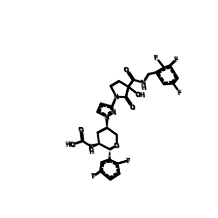 O=C(O)N[C@H]1C[C@@H](n2ccc(N3CCC(O)(C(=O)NCc4cc(F)cc(F)c4F)C3=O)n2)CO[C@@H]1c1cc(F)ccc1F